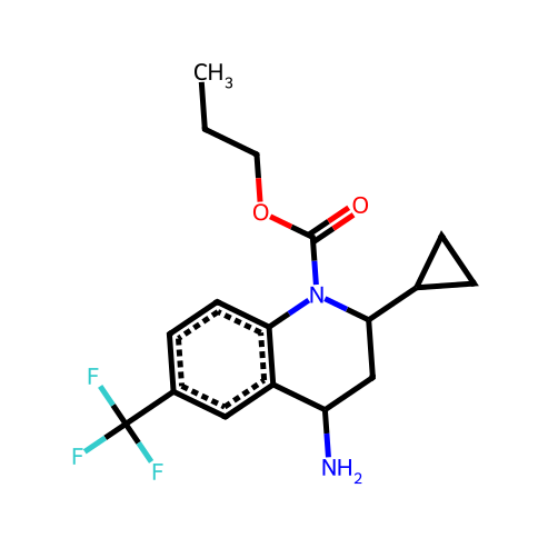 CCCOC(=O)N1c2ccc(C(F)(F)F)cc2C(N)CC1C1CC1